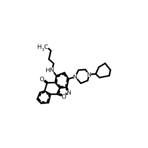 CCCCNc1cc(N2CCN(C3CCCCC3)CC2)c2noc3c2c1C(=O)c1ccccc1-3